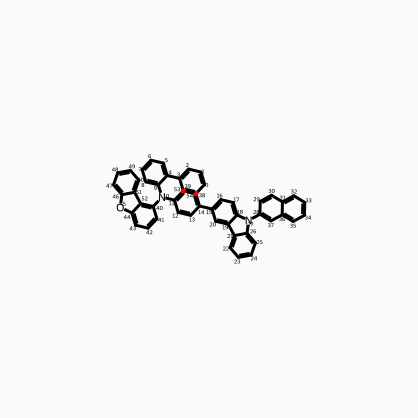 c1ccc(-c2ccccc2N(c2ccc(-c3ccc4c(c3)c3ccccc3n4-c3ccc4ccccc4c3)cc2)c2cccc3oc4ccccc4c23)cc1